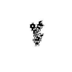 CCCC[C@H](NC(=O)[C@H](Cc1ccccc1)CS(=O)(=O)C[C@H]1O[C@@H]2OC(C)(C)O[C@@H]2[C@@H]1OC(C)=O)C(=O)OC(C)(C)C